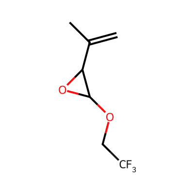 C=C(C)C1OC1OCC(F)(F)F